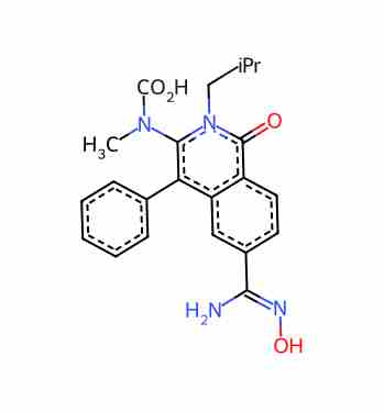 CC(C)Cn1c(N(C)C(=O)O)c(-c2ccccc2)c2cc(C(N)=NO)ccc2c1=O